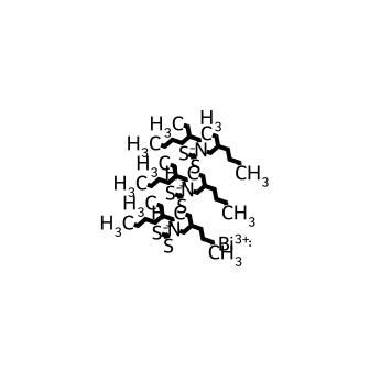 CCCCC(CC)CN(CC(CC)CCCC)C(=S)[S-].CCCCC(CC)CN(CC(CC)CCCC)C(=S)[S-].CCCCC(CC)CN(CC(CC)CCCC)C(=S)[S-].[Bi+3]